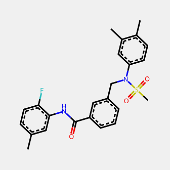 Cc1ccc(F)c(NC(=O)c2cccc(CN(c3ccc(C)c(C)c3)S(C)(=O)=O)c2)c1